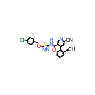 C#Cc1ccccc1-c1cc(C#N)ncc1C(=O)Nc1nnc(OCc2ccc(Cl)cc2)s1